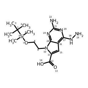 CC(C)(C)[Si](C)(C)OCCn1c(C(=O)O)cc2c(NN)nc(N)nc21